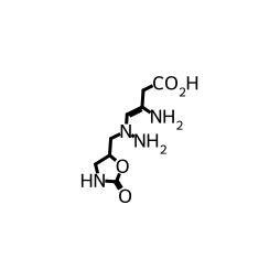 N/C(=C\N(N)CC1CNC(=O)O1)CC(=O)O